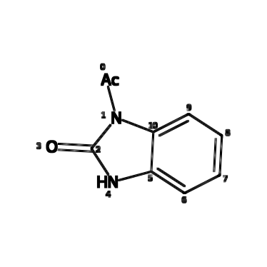 CC(=O)n1c(=O)[nH]c2ccccc21